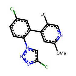 CCc1cnc(OC)cc1-c1cc(Cl)ccc1-n1cc(Cl)nn1